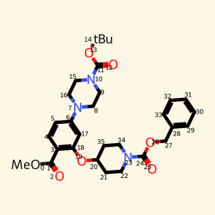 COC(=O)c1ccc(N2CCN(C(=O)OC(C)(C)C)CC2)cc1OC1CCN(C(=O)OCc2ccccc2)CC1